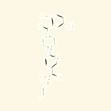 CCCCNC(=O)c1ccc(N2CCN(C(=O)c3cc(Cl)ccc3Cl)CC2)nc1